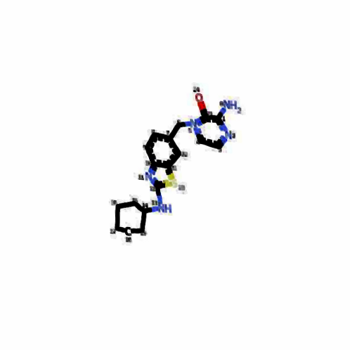 Nc1nccn(Cc2ccc3nc(NC4CCCCC4)sc3c2)c1=O